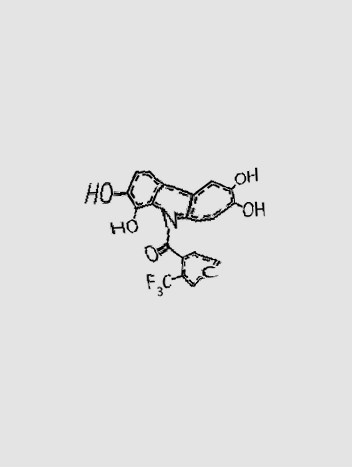 O=C(c1ccccc1C(F)(F)F)n1c2cc(O)c(O)cc2c2ccc(O)c(O)c21